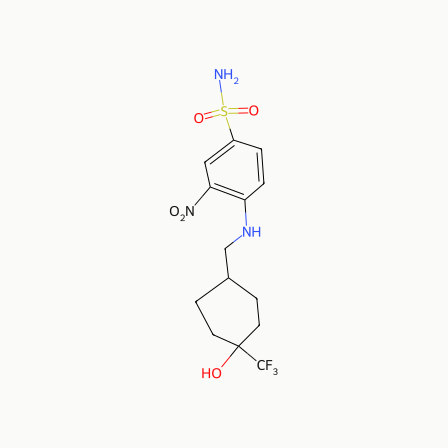 NS(=O)(=O)c1ccc(NCC2CCC(O)(C(F)(F)F)CC2)c([N+](=O)[O-])c1